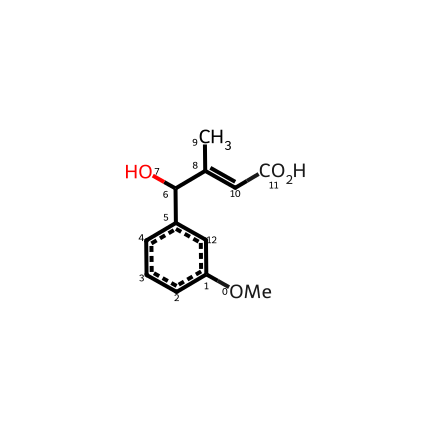 COc1cccc(C(O)C(C)=CC(=O)O)c1